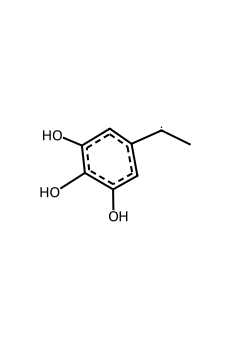 C[CH]c1cc(O)c(O)c(O)c1